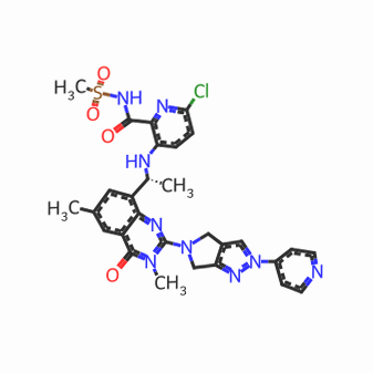 Cc1cc([C@@H](C)Nc2ccc(Cl)nc2C(=O)NS(C)(=O)=O)c2nc(N3Cc4cn(-c5ccncc5)nc4C3)n(C)c(=O)c2c1